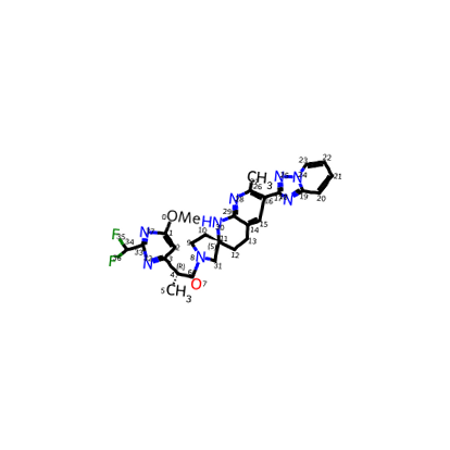 COc1cc([C@@H](C)C(=O)N2CC[C@@]3(CCc4cc(-c5nc6ccccn6n5)c(C)nc4N3)C2)nc(C(F)F)n1